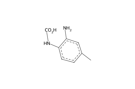 Cc1ccc(NC(=O)O)c(N)c1